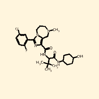 CN1CCCn2c(-c3cc(Cl)ccc3F)nc(C(=O)NC(C(=O)NC3CCC(O)CC3)C(C)(C)C)c2C1